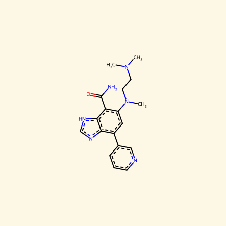 CN(C)CCN(C)c1cc(-c2cccnc2)c2nc[nH]c2c1C(N)=O